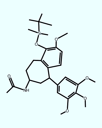 COc1cc(C2CC(NC(C)=O)CCc3c2ccc(OC)c3O[Si](C)(C)C(C)(C)C)cc(OC)c1OC